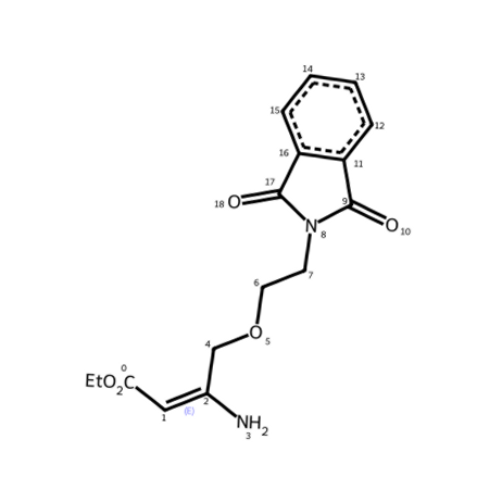 CCOC(=O)/C=C(/N)COCCN1C(=O)c2ccccc2C1=O